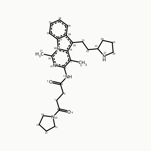 Cc1c(NC(=O)CCC(=O)N2CCCC2)nc(C)n2c1c(CCC1CCCN1)c1ccccc12